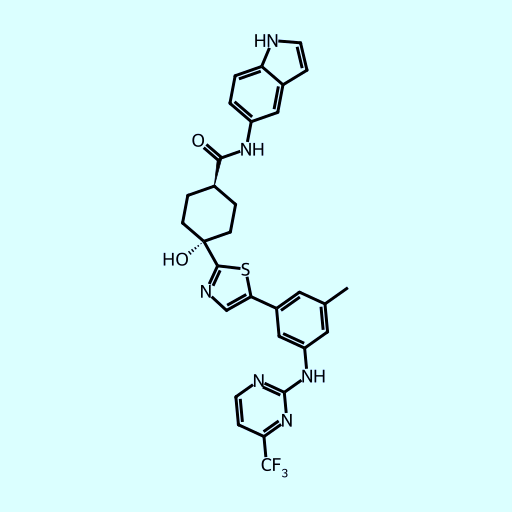 Cc1cc(Nc2nccc(C(F)(F)F)n2)cc(-c2cnc([C@]3(O)CC[C@H](C(=O)Nc4ccc5[nH]ccc5c4)CC3)s2)c1